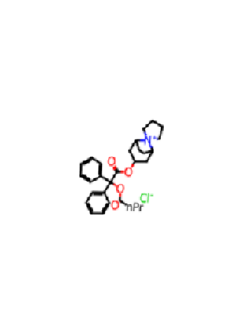 CCCC(=O)OC(C(=O)OC1CC2CCC(C1)[N+]21CCCC1)(c1ccccc1)c1ccccc1.[Cl-]